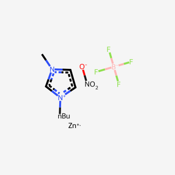 CCCC[n+]1ccn(C)c1.F[B-](F)(F)F.O=[N+]([O-])[O-].[Zn+]